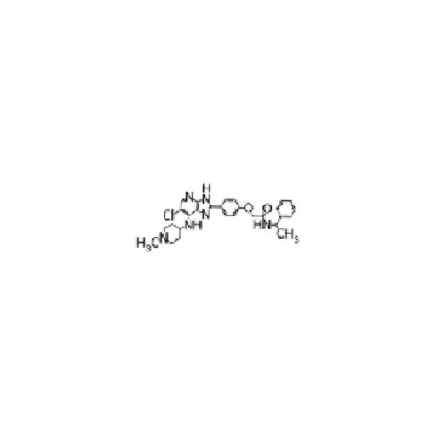 CC(NC(=O)COc1ccc(-c2nc3c(NC4CCN(C)CC4)c(Cl)cnc3[nH]2)cc1)c1ccccc1